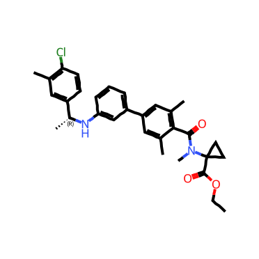 CCOC(=O)C1(N(C)C(=O)c2c(C)cc(-c3cccc(N[C@H](C)c4ccc(Cl)c(C)c4)c3)cc2C)CC1